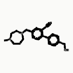 CN1CCCN(Cc2ccc(-c3ccc(CO)cc3)c(C#N)c2)CC1